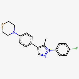 Cc1c(-c2ccc(N3CCSCC3)cc2)cnn1-c1ccc(F)cc1